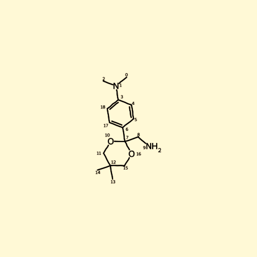 CN(C)c1ccc(C2(CN)OCC(C)(C)CO2)cc1